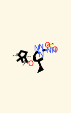 C[C@@H]1CC[C@@](C)([C@@H](C)Oc2cc3nnc(NS(C)(=O)=O)n3cc2C2CC2)C1(C)C